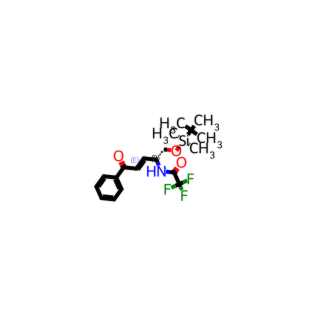 CC(C)(C)[Si](C)(C)OC[C@@H](/C=C/C(=O)c1ccccc1)NC(=O)C(F)(F)F